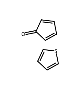 O=C1C=CC=C1.c1ccsc1